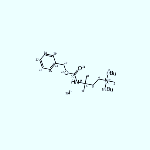 CCCC[N+](C)(CCCC)CCC(C)(C)NC(=O)OCc1ccccc1.[I-]